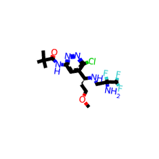 COCC[C@@H](NCC(N)(F)C(F)F)c1cc(NC(=O)C(C)(C)C)nnc1Cl